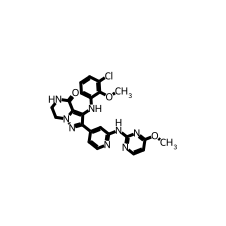 COc1ccnc(Nc2cc(-c3nn4c(c3Nc3cccc(Cl)c3OC)C(=O)NCC4)ccn2)n1